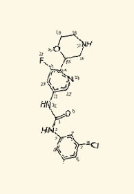 O=C(Nc1cccc(Cl)c1)Nc1cnc(C2CNCCO2)c(F)c1